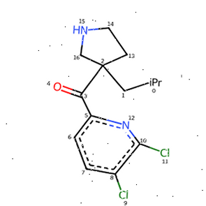 CC(C)CC1(C(=O)c2ccc(Cl)c(Cl)n2)CCNC1